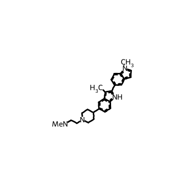 CNCCN1CCC(c2ccc3[nH]c(-c4ccc5c(ccn5C)c4)c(C)c3c2)CC1